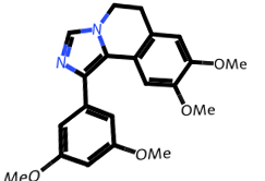 COc1cc(OC)cc(-c2ncn3c2-c2cc(OC)c(OC)cc2CC3)c1